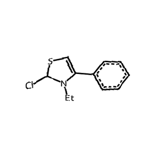 CCN1C(c2ccccc2)=CSC1Cl